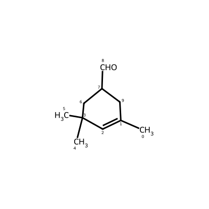 CC1=CC(C)(C)CC(C=O)C1